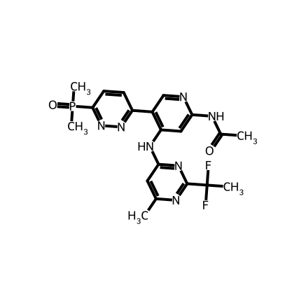 CC(=O)Nc1cc(Nc2cc(C)nc(C(C)(F)F)n2)c(-c2ccc(P(C)(C)=O)nn2)cn1